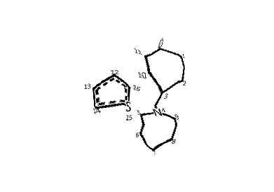 C1CCC(N2CCCCC2)CC1.c1ccsc1